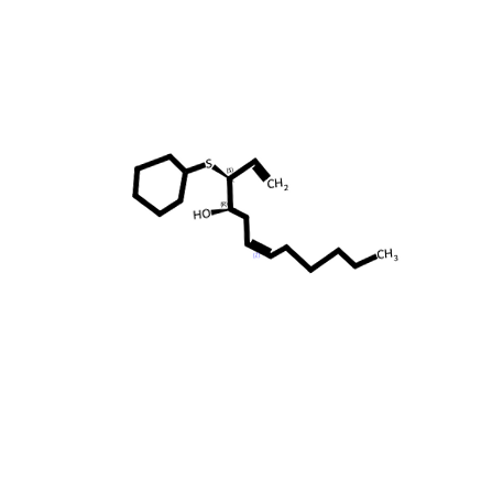 C=C[C@H](SC1CCCCC1)[C@H](O)C/C=C\CCCCC